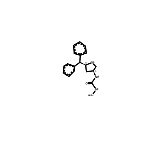 CCCCNC(=O)N[C@@H]1CN[C@H](C(c2ccccc2)c2ccccc2)C1